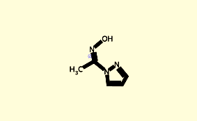 C/C(=N/O)n1cccn1